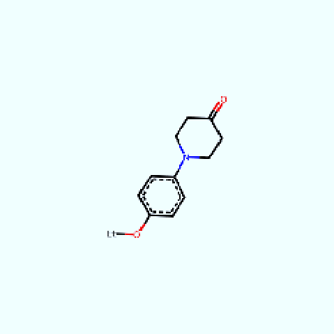 CCOc1ccc(N2CCC(=O)CC2)cc1